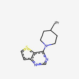 CC(C)C1CCN(c2ncnc3ccsc23)CC1